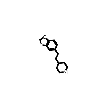 c1cc2c(cc1CCC1CCNCC1)OCO2